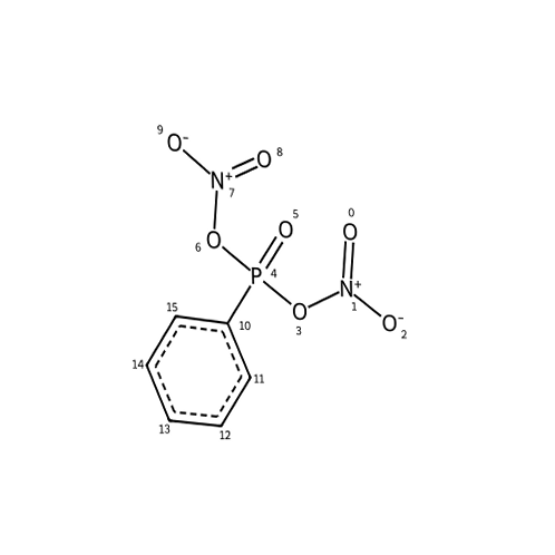 O=[N+]([O-])OP(=O)(O[N+](=O)[O-])c1ccccc1